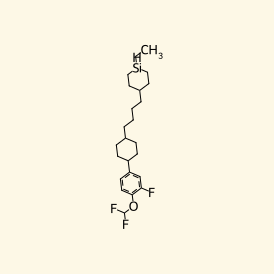 CC[SiH]1CCC(CCCCC2CCC(c3ccc(OC(F)F)c(F)c3)CC2)CC1